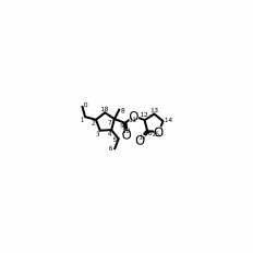 CCC1CC(CC)C(C)(C(=O)OC2CCOC2=O)C1